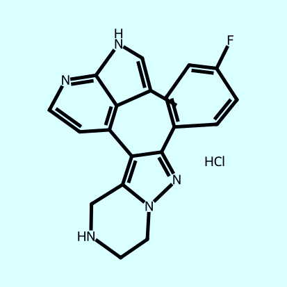 Cc1c[nH]c2nccc(-c3c(-c4ccc(F)cc4)nn4c3CNCC4)c12.Cl